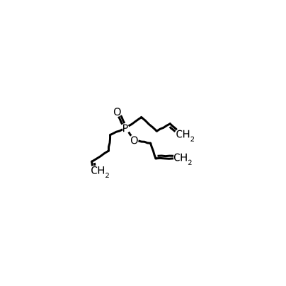 C=CCCP(=O)(CCC=C)OCC=C